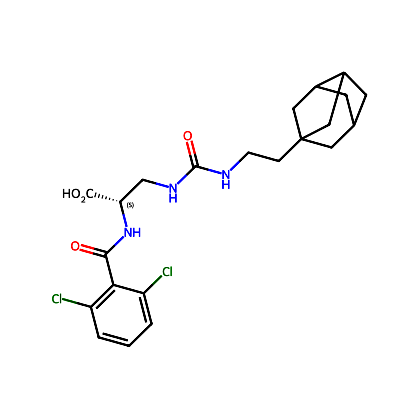 O=C(NCCC12CC3CC(C1)C(C3)C2)NC[C@H](NC(=O)c1c(Cl)cccc1Cl)C(=O)O